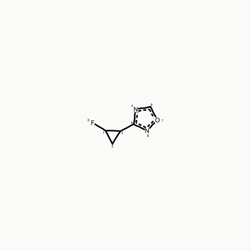 FC1CC1c1ncon1